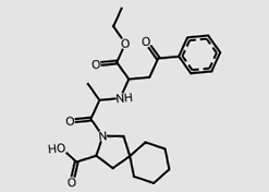 CCOC(=O)C(CC(=O)c1ccccc1)NC(C)C(=O)N1CC2(CCCCC2)CC1C(=O)O